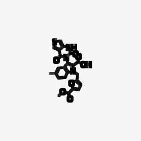 COC(=O)c1ccc(Cn2c(C(=O)O)c(-n3c(=O)[nH]c4cscc4c3=O)c3cc(C)ccc32)o1